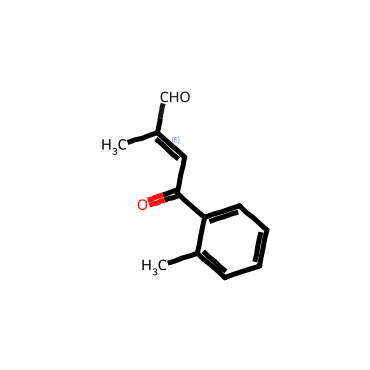 C/C(C=O)=C\C(=O)c1ccccc1C